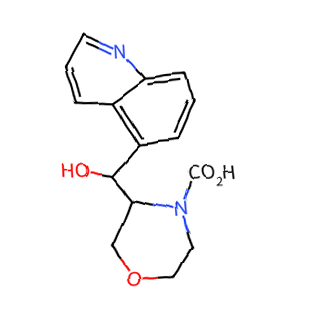 O=C(O)N1CCOCC1C(O)c1cccc2ncccc12